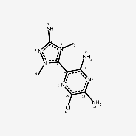 Cn1c(S)n[n+](C)c1-c1nc(Cl)c(N)nc1N